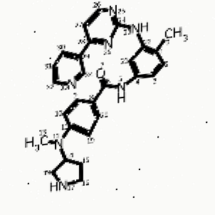 Cc1ccc(NC(=O)c2ccc(N(C)C3CCNC3)cc2)cc1Nc1nccc(-c2cccnc2)n1